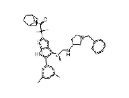 Cc1cc(C)cc(-c2[nH]c3sc(C(C)(C)C(=O)N4C5CCC4CC5)cc3c2[C@H](C)CNC2CCN(Cc3ccccc3)C2)c1